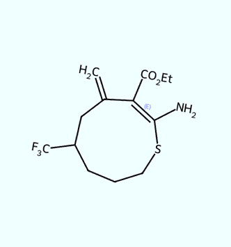 C=C1CC(C(F)(F)F)CCCS/C(N)=C\1C(=O)OCC